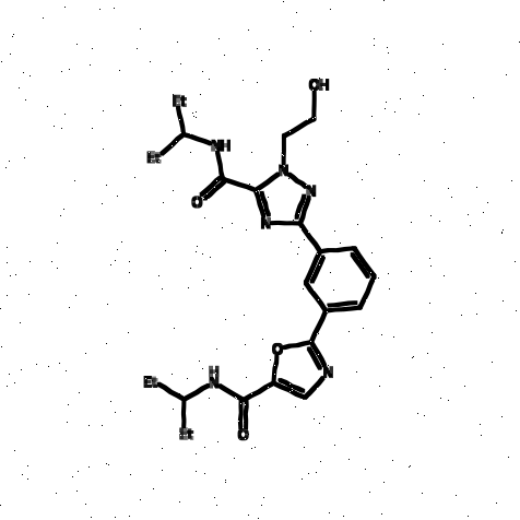 CCC(CC)NC(=O)c1cnc(-c2cccc(-c3nc(C(=O)NC(CC)CC)n(CCO)n3)c2)o1